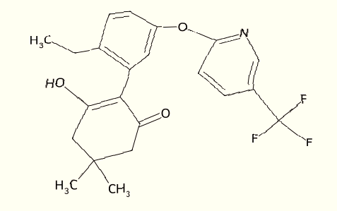 CCc1ccc(Oc2ccc(C(F)(F)F)cn2)cc1C1=C(O)CC(C)(C)CC1=O